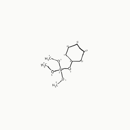 CO[Si](OC)(OC)OC1CCCCC1